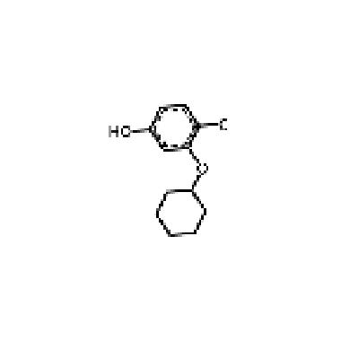 Oc1ccc(Cl)c(OC2CCCCC2)c1